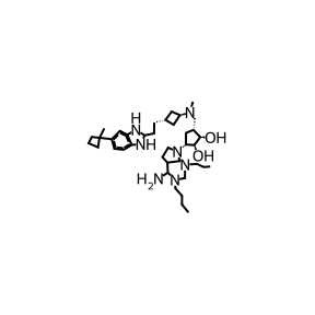 CCCCN1CN(CCC)C2C(CCN2[C@@H]2C[C@H](CN(C)[C@H]3C[C@H](CCC4Nc5ccc(C6(C)CCC6)cc5N4)C3)[C@@H](O)[C@H]2O)C1N